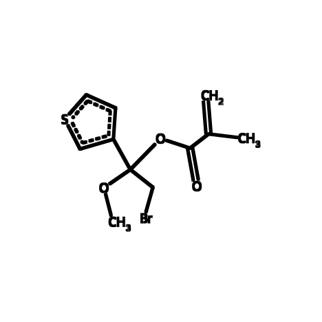 C=C(C)C(=O)OC(CBr)(OC)c1ccsc1